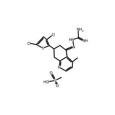 CS(=O)(=O)O.Cc1ccnc2c1C(=NNC(=N)N)CC(c1sc(Cl)cc1Cl)C2